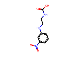 O=C(O)NCCNc1cccc([N+](=O)[O-])c1